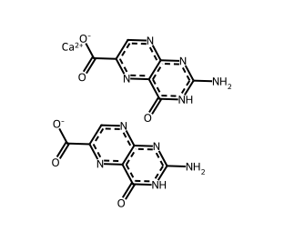 Nc1nc2ncc(C(=O)[O-])nc2c(=O)[nH]1.Nc1nc2ncc(C(=O)[O-])nc2c(=O)[nH]1.[Ca+2]